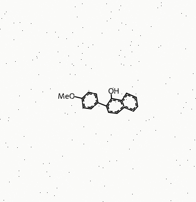 COc1ccc(-c2ccc3ccccc3c2O)cc1